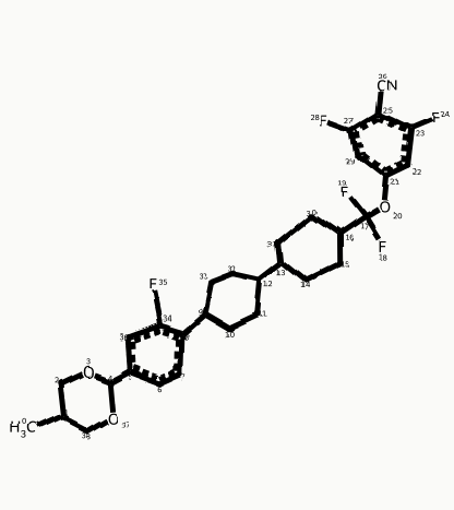 CC1COC(c2ccc(C3CCC(C4CCC(C(F)(F)Oc5cc(F)c(C#N)c(F)c5)CC4)CC3)c(F)c2)OC1